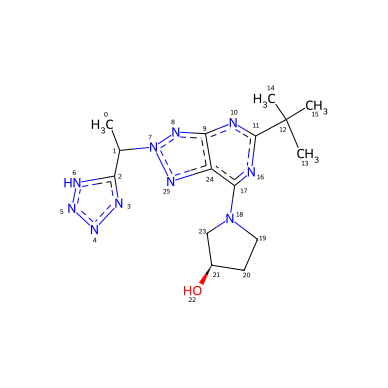 CC(c1nnn[nH]1)n1nc2nc(C(C)(C)C)nc(N3CC[C@@H](O)C3)c2n1